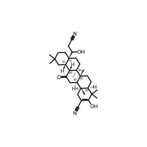 CC1(C)CC[C@]2(C(O)CC#N)CC[C@]3(C)[C@H](C(=O)C[C@@H]4[C@@]5(C)CC(C#N)=C(O)C(C)(C)[C@@H]5CC[C@]43C)[C@@H]2C1